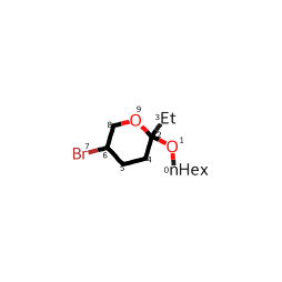 CCCCCCOC1(CC)CCC(Br)CO1